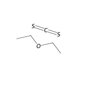 CCOCC.S=C=S